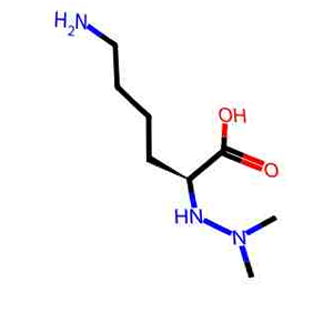 CN(C)N[C@@H](CCCCN)C(=O)O